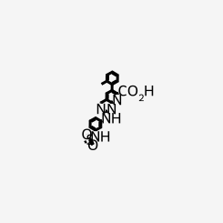 Cc1ccccc1-c1cc2cnc(Nc3cccc(NS(C)(=O)=O)c3)nc2nc1C(=O)O